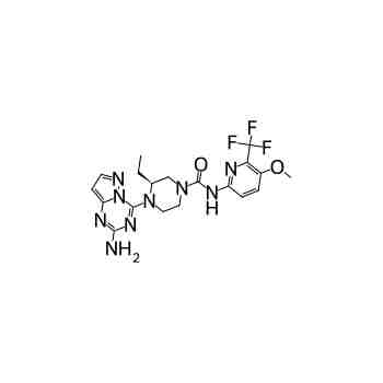 CC[C@H]1CN(C(=O)Nc2ccc(OC)c(C(F)(F)F)n2)CCN1c1nc(N)nc2ccnn12